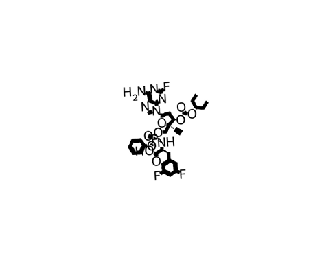 C#C[C@]1(CO[P@@](=O)(N[C@@H](Cc2cc(F)cc(F)c2)C(=O)O)Oc2ccccc2)O[C@@H](n2cnc3c(N)nc(F)nc32)C[C@@H]1OC(=O)OC(CC)CC